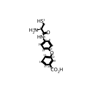 N[C@@H](CS)C(=O)Nc1ccc(Oc2cccc(C(=O)O)c2)cc1